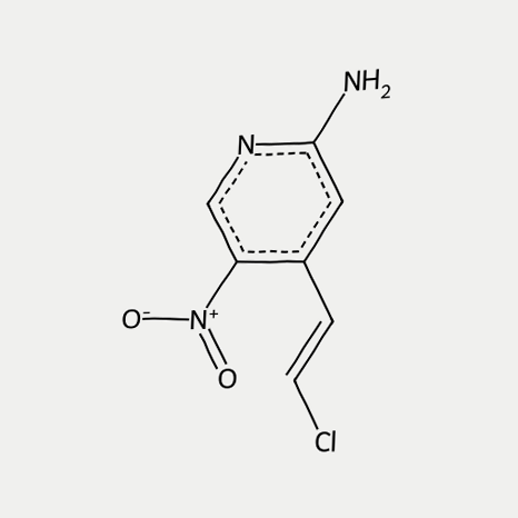 Nc1cc(/C=C/Cl)c([N+](=O)[O-])cn1